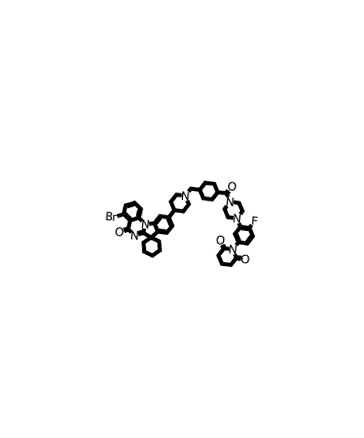 O=C(C1CCC(CN2CCC(c3ccc4c(c3)-n3c(nc(=O)c5c(Br)cccc53)C43CCCCC3)CC2)CC1)N1CCN(c2cc(N3C(=O)CCCC3=O)ccc2F)CC1